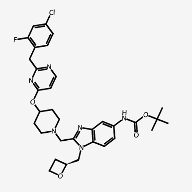 CC(C)(C)OC(=O)Nc1ccc2c(c1)nc(CN1CCC(Oc3ccnc(Cc4ccc(Cl)cc4F)n3)CC1)n2C[C@@H]1CCO1